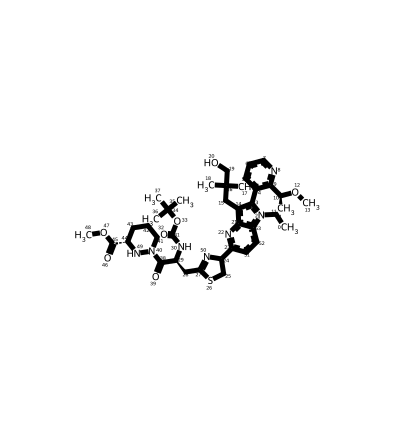 CCn1c(-c2cccnc2[C@H](C)OC)c(CC(C)(C)CO)c2nc(C3CSC(C[C@H](NC(=O)OC(C)(C)C)C(=O)N4CCC[C@@H](C(=O)OC)N4)=N3)ccc21